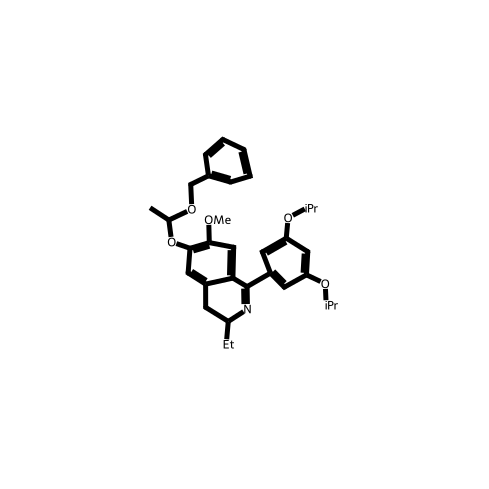 CCC1Cc2cc(OC(C)OCc3ccccc3)c(OC)cc2C(c2cc(OC(C)C)cc(OC(C)C)c2)=N1